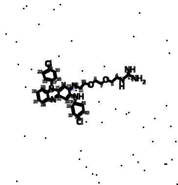 N=C(N)NCCOCCOCC/N=c1/cc2n(-c3ccc(Cl)cc3)c3ccccc3nc-2cc1Nc1ccc(Cl)cc1